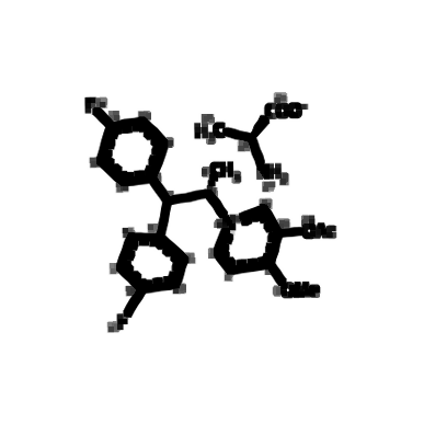 COc1cc[n+]([C@@H](C)C(c2ccc(F)cc2)c2ccc(F)cc2)cc1OC(C)=O.C[C@H](N)C(=O)[O-]